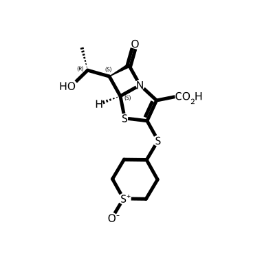 C[C@@H](O)[C@H]1C(=O)N2C(C(=O)O)=C(SC3CC[S+]([O-])CC3)S[C@@H]12